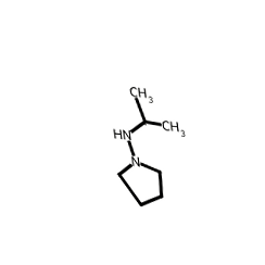 C[C](C)NN1CCCC1